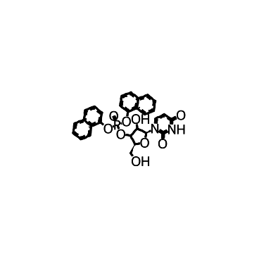 O=c1ccn([C@H]2O[C@@H](CO)C(OP(=O)(Oc3cccc4ccccc34)Oc3cccc4ccccc34)C2O)c(=O)[nH]1